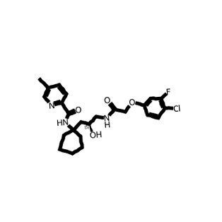 Cc1ccc(C(=O)NC2(C[C@H](O)CNC(=O)COc3ccc(Cl)c(F)c3)CCCCC2)nc1